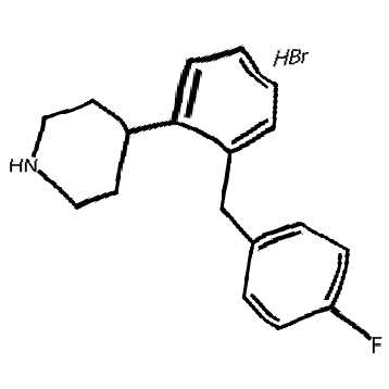 Br.Fc1ccc(Cc2ccccc2C2CCNCC2)cc1